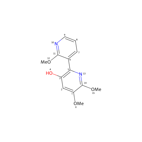 COc1cc(O)c(-c2cccnc2OC)nc1OC